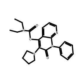 CCN(CC)C(=O)Oc1c(N2CCCC2)c(=O)n(-c2ccccc2)c2ncccc12